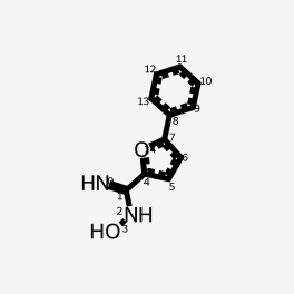 N=C(NO)c1ccc(-c2ccccc2)o1